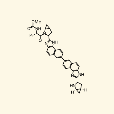 COC(=O)N[C@H](C(=O)N1C2CC2C[C@H]1c1nc2ccc3cc(-c4ccc5c(ccc6[nH]c([C@@H]7C[C@H]8C[C@H]8N7)nc65)c4)ccc3c2[nH]1)C(C)C